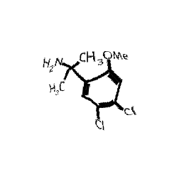 COc1cc(Cl)c(Cl)cc1C(C)(C)N